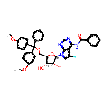 COc1ccc(C(OC[C@H]2O[C@@H](n3cc(F)c4c(NC(=O)c5ccccc5)ncnc43)[C@H](O)[C@@H]2O)(c2ccccc2)c2ccc(OC)cc2)cc1